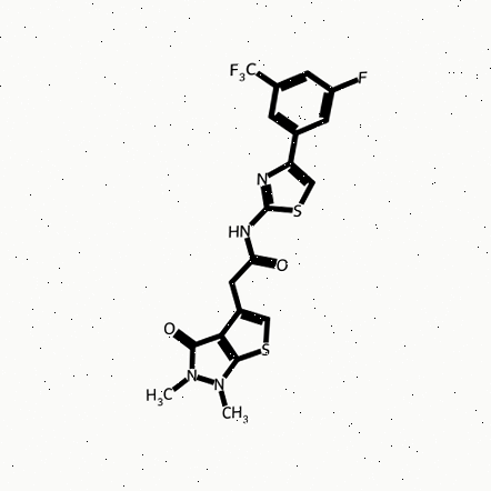 Cn1c(=O)c2c(CC(=O)Nc3nc(-c4cc(F)cc(C(F)(F)F)c4)cs3)csc2n1C